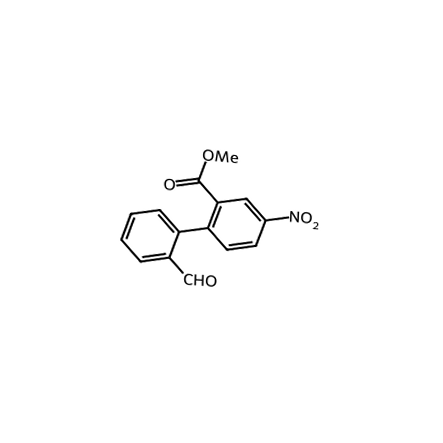 COC(=O)c1cc([N+](=O)[O-])ccc1-c1ccccc1C=O